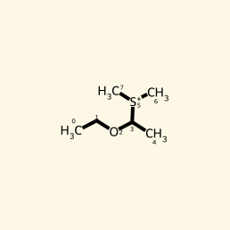 CCOC(C)[S+](C)C